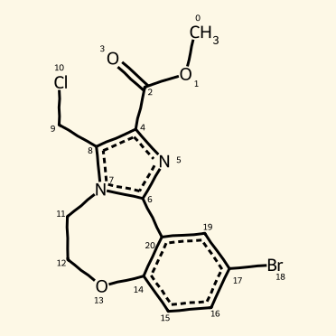 COC(=O)c1nc2n(c1CCl)CCOc1ccc(Br)cc1-2